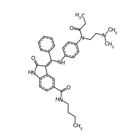 CCCCNC(=O)c1ccc2c(c1)/C(=C(\Nc1ccc(N(CCN(C)C)C(=O)CC)cc1)c1ccccc1)C(=O)N2